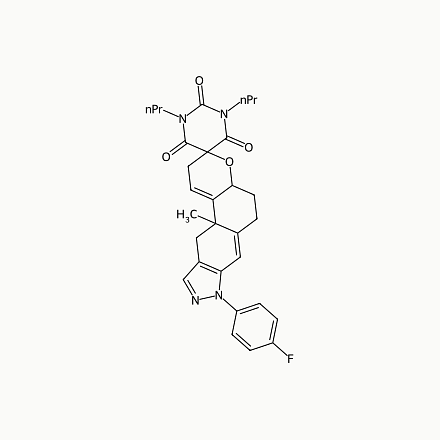 CCCN1C(=O)N(CCC)C(=O)C2(CC=C3C(CCC4=Cc5c(cnn5-c5ccc(F)cc5)CC43C)O2)C1=O